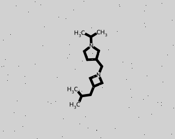 CC(C)CC1CN(CC2CCN(C(C)C)C2)C1